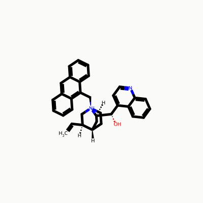 C=C[C@H]1C[N@+]2(Cc3c4ccccc4cc4ccccc34)CC[C@H]1C[C@@H]2[C@@H](O)c1ccnc2ccccc12